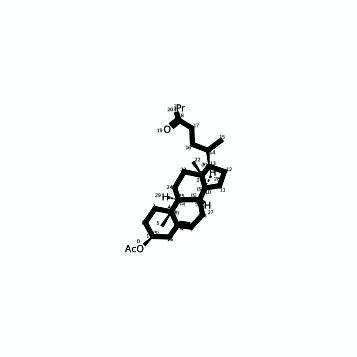 CC(=O)O[C@H]1CC[C@@]2(C)C(=CC[C@H]3[C@@H]4CC[C@H](C(C)CCC(=O)C(C)C)[C@@]4(C)CC[C@@H]32)C1